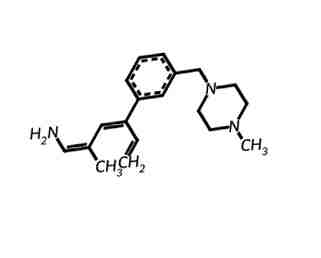 C=C/C(=C\C(C)=C/N)c1cccc(CN2CCN(C)CC2)c1